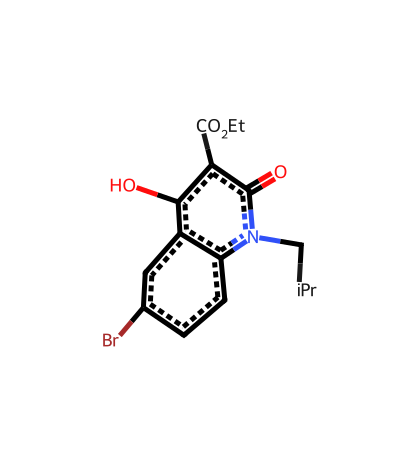 CCOC(=O)c1c(O)c2cc(Br)ccc2n(CC(C)C)c1=O